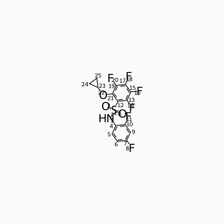 O=S(=O)(Nc1ccc(F)cc1F)c1c(F)c(F)c(F)c(F)c1OC1CC1